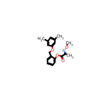 CON=C(C)C(=O)Oc1ccccc1COc1cc(C)cc(C)c1